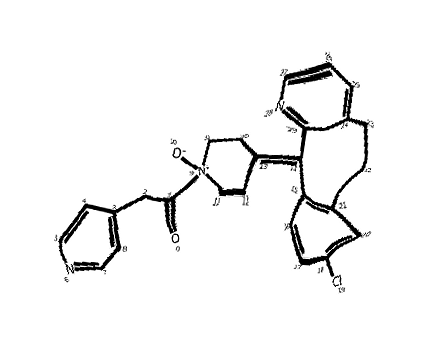 O=C(Cc1ccncc1)[N+]1([O-])CCC(=C2c3ccc(Cl)cc3CCc3cccnc32)CC1